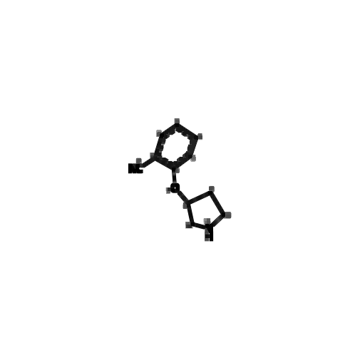 N#Cc1ccccc1OC1CCNC1